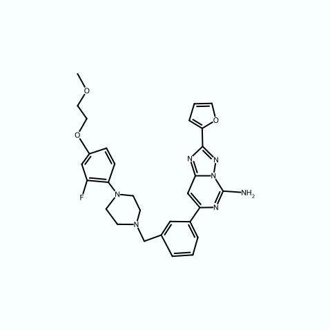 COCCOc1ccc(N2CCN(Cc3cccc(-c4cc5nc(-c6ccco6)nn5c(N)n4)c3)CC2)c(F)c1